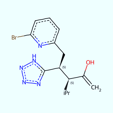 C=C(O)[C@@H](C(C)C)[C@H](Cc1cccc(Br)n1)c1nnn[nH]1